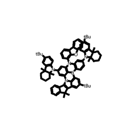 CC(C)(C)c1ccc2c(c1)C1(C)CCCCC1(C)N2c1ccc2c(c1)N(c1cccc3c1oc1ccccc13)c1cc(N3c4ccc(C(C)(C)C)cc4C4(C)CCCCC34C)cc3c1B2c1cc(C(C)(C)C)cc2c4c(n-3c12)-c1ccccc1C4(C)C